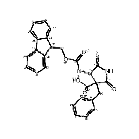 O=C(NN1C(=O)NC(=O)C1(Cc1ccccc1)C(=O)O)OCC1c2ccccc2-c2ccccc21